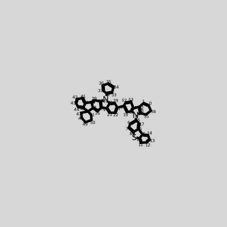 C1=Cc2c(n(-c3ccc4sc5ccccc5c4c3)c3cc(-c4ccc5c6cc7c(cc6n(-c6ccccc6)c5c4)-c4ccccc4C74CCCCC4)ccc23)CC1